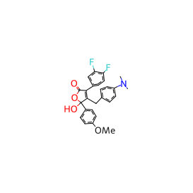 COc1ccc(C2(O)OC(=O)C(c3ccc(F)c(F)c3)=C2Cc2ccc(N(C)C)cc2)cc1